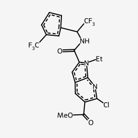 CCn1c(C(=O)NC(c2cccc(C(F)(F)F)c2)C(F)(F)F)cc2cc(C(=O)OC)c(Cl)nc21